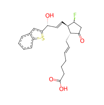 O=C(O)CCCC=CC[C@H]1C(=O)C[C@H](F)[C@@H]1C=C[C@@H](O)c1cc2ccccc2s1